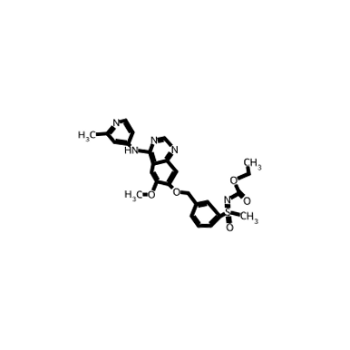 CCOC(=O)N=S(C)(=O)c1cccc(COc2cc3ncnc(Nc4ccnc(C)c4)c3cc2OC)c1